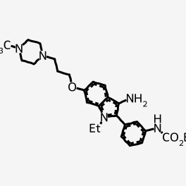 CCOC(=O)Nc1cccc(-c2c(N)c3ccc(OCCCN4CCN(C)CC4)cc3n2CC)c1